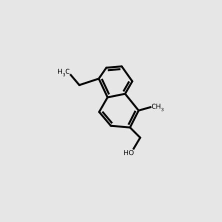 CCc1cccc2c(C)c(CO)ccc12